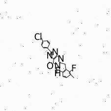 Cc1ccc(F)c(Cc2nc3c(nc(-c4ccc(Cl)cc4)n3C)c(=O)[nH]2)c1F